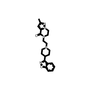 Cc1cc2n(n1)CCN(CCN1CCC(c3noc4ccccc34)CC1)C2=O